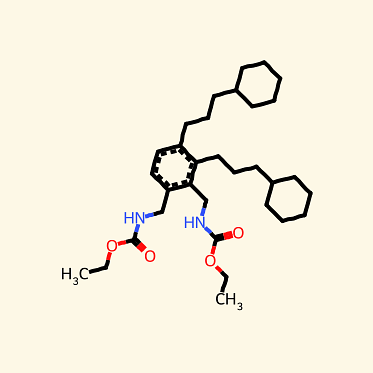 CCOC(=O)NCc1ccc(CCCC2CCCCC2)c(CCCC2CCCCC2)c1CNC(=O)OCC